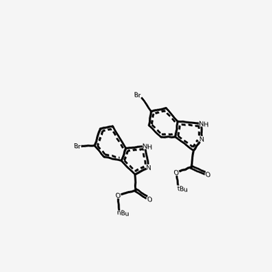 CC(C)(C)OC(=O)c1n[nH]c2cc(Br)ccc12.CCCCOC(=O)c1n[nH]c2ccc(Br)cc12